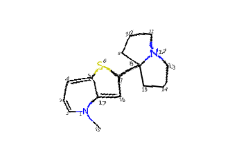 CN1C=CC=C2SC(C34CCCN3CCC4)C=C21